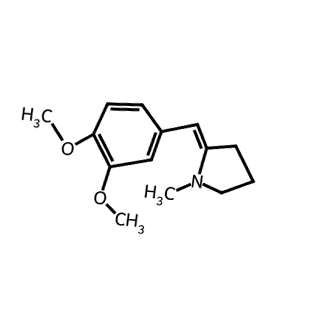 COc1ccc(C=C2CCCN2C)cc1OC